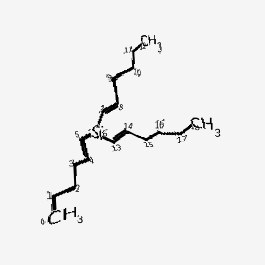 CCCCC=C[Si](C=CCCCC)C=CCCCC